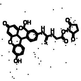 O=C1C=CC2C(=C1)Oc1cc(O)ccc1C2c1ccc(NC(=S)NCC(=O)ON2C(=O)CCC2=O)cc1C(=O)O